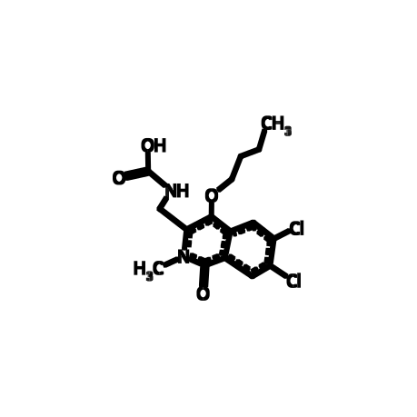 CCCCOc1c(CNC(=O)O)n(C)c(=O)c2cc(Cl)c(Cl)cc12